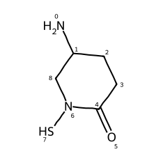 NC1CCC(=O)N(S)C1